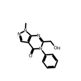 Cn1ncc2c(=O)n(-c3ccccc3)c(CO)nc21